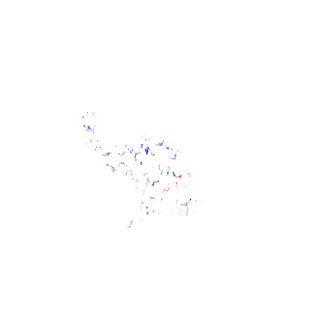 C=C[C@@H]1C[C@]1(NC(=O)[C@@H]1C[C@@H](Oc2cc(-n3ccc(NC(C)C)n3)nc3cc(OCCN4CCOCC4)ccc23)CN1C(=O)[C@@H](NC(=O)OC1CC2C[C@H]2C1)C(C)(C)C)C(=O)O